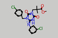 COC(=O)C(C)(C)Cn1c(=O)[nH]/c(=N\c2cccc(Cl)c2)n(Cc2ccc(Cl)cc2)c1=O